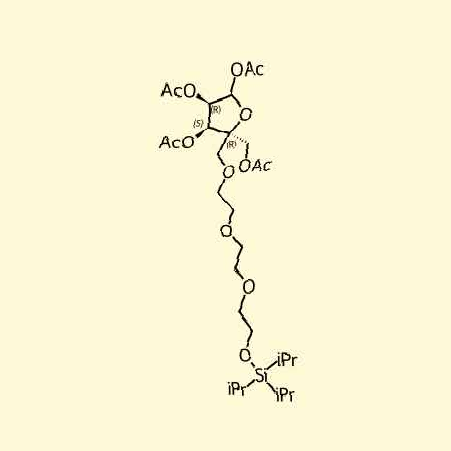 CC(=O)OC[C@@]1(COCCOCCOCCO[Si](C(C)C)(C(C)C)C(C)C)OC(OC(C)=O)[C@H](OC(C)=O)[C@@H]1OC(C)=O